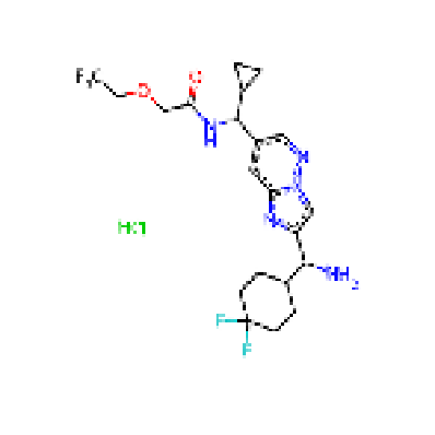 Cl.NC(c1cn2ncc([C@H](NC(=O)COCC(F)(F)F)C3CC3)cc2n1)C1CCC(F)(F)CC1